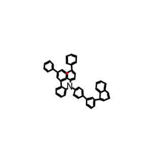 c1ccc(-c2ccc(N(c3ccc(-c4cccc(-c5cccc6ccccc56)c4)cc3)c3ccccc3-c3cccc(-c4ccccc4)c3)cc2)cc1